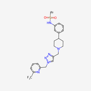 CC(C)S(=O)(=O)Nc1cccc(C2CCN(Cc3cn(Cc4cccc(C(F)(F)F)n4)nn3)CC2)c1